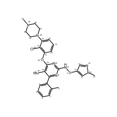 Cc1ccccc1-c1nc(NSc2cnn(C)c2)nc(Oc2cccc(N3CCN(C)CC3)c2Cl)c1C(C)(C)C